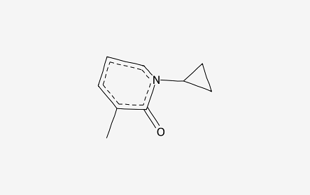 Cc1cccn(C2CC2)c1=O